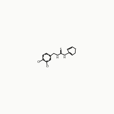 S=C(NCc1ccc(Cl)c(Cl)c1)NC1=CC[CH]C=C1